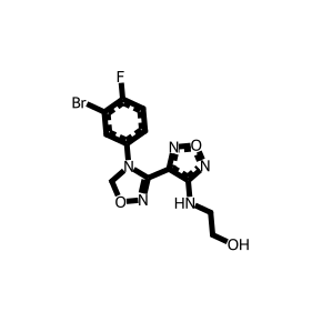 OCCNc1nonc1C1=NOCN1c1ccc(F)c(Br)c1